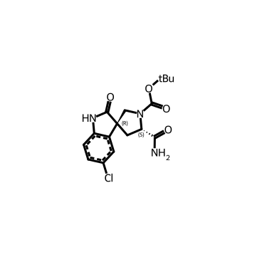 CC(C)(C)OC(=O)N1C[C@]2(C[C@H]1C(N)=O)C(=O)Nc1ccc(Cl)cc12